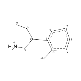 CCC(CN)c1ccccc1C